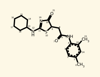 Cc1ccc(NC(=O)CC2SC(NC3CCCCC3)=NC2=O)c(C)c1